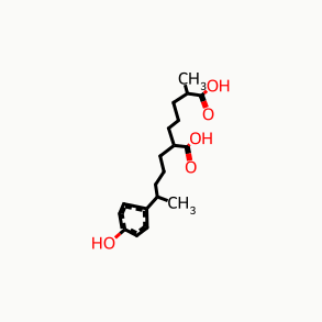 CC(CCCC(CCCC(C)c1ccc(O)cc1)C(=O)O)C(=O)O